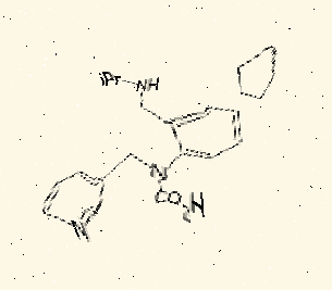 C1CCCC1.CC(C)NCc1ccccc1N(Cc1cccnc1)C(=O)O